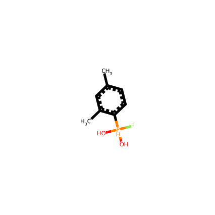 Cc1ccc([PH](O)(O)F)c(C)c1